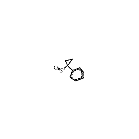 O=[S+]C1(c2ccccc2)CC1